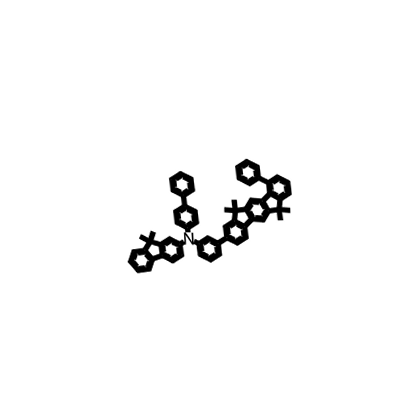 CC1(C)c2ccccc2-c2ccc(N(c3ccc(-c4ccccc4)cc3)c3cccc(-c4ccc5c(c4)C(C)(C)c4cc6c(cc4-5)C(C)(C)c4cccc(-c5ccccc5)c4-6)c3)cc21